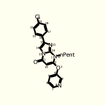 CCCCCn1c(Oc2cccnc2)cc(=O)n2cc(-c3ccc(Cl)cc3)nc12